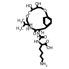 CC(C)[C@H]1COCC(O)C(O)COc2ccc(cc2)C[C@@H](NC(=O)NC(CCCCN)C(=O)O)C(=O)N1